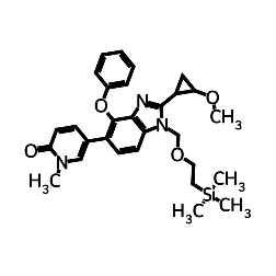 COC1CC1c1nc2c(Oc3ccccc3)c(-c3ccc(=O)n(C)c3)ccc2n1COCC[Si](C)(C)C